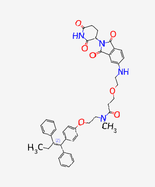 CC/C(=C(\c1ccccc1)c1ccc(OCCN(C)C(=O)CCOCCNc2ccc3c(c2)C(=O)N(C2CCC(=O)NC2=O)C3=O)cc1)c1ccccc1